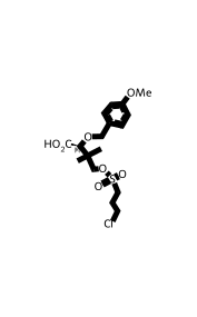 COc1ccc(CO[C@@H](C(=O)O)C(C)(C)COS(=O)(=O)CCCCl)cc1